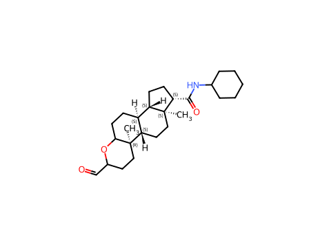 C[C@]12CC[C@H]3[C@@H](CCC4OC(C=O)CC[C@@]43C)[C@@H]1CC[C@@H]2C(=O)NC1CCCCC1